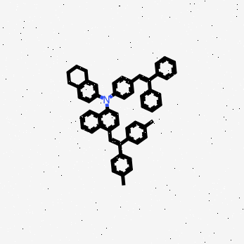 Cc1ccc(C(=Cc2ccc(N(c3ccc(C=C(c4ccccc4)c4ccccc4)cc3)c3ccc4c(c3)CCCC4)c3ccccc23)c2ccc(C)cc2)cc1